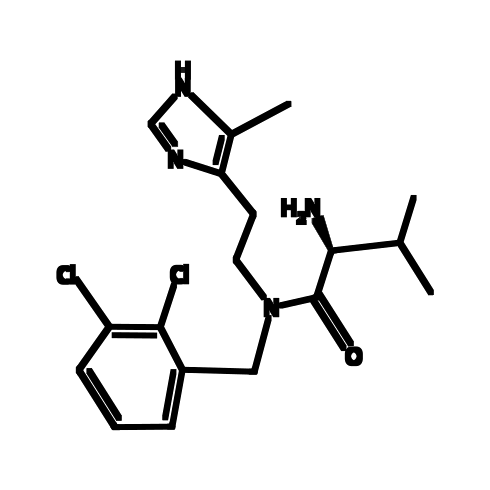 Cc1[nH]cnc1CCN(Cc1cccc(Cl)c1Cl)C(=O)[C@@H](N)C(C)C